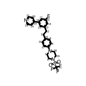 O=S(=O)(N1CCN(c2ccc(CCc3cc(F)cc(-c4ccncc4)c3)cc2)CC1)C(F)(F)F